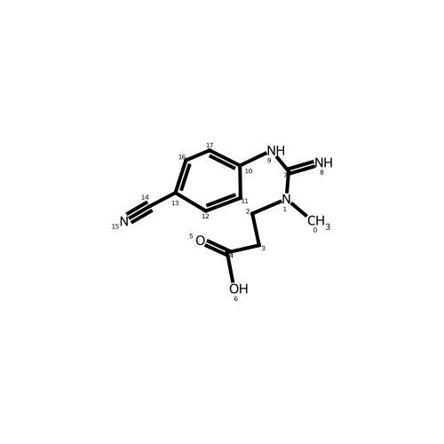 CN(CCC(=O)O)C(=N)Nc1ccc(C#N)cc1